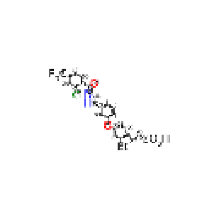 CCc1cc(Oc2cccc(CCNC(=O)c3ccc(C(F)(F)F)cc3Cl)c2)ccc1CCC(=O)O